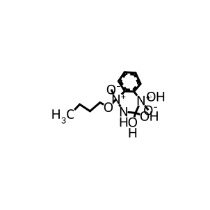 CCCCO[N+]1([O-])NC(O)(O)[N+]([O-])(O)c2ccccc21